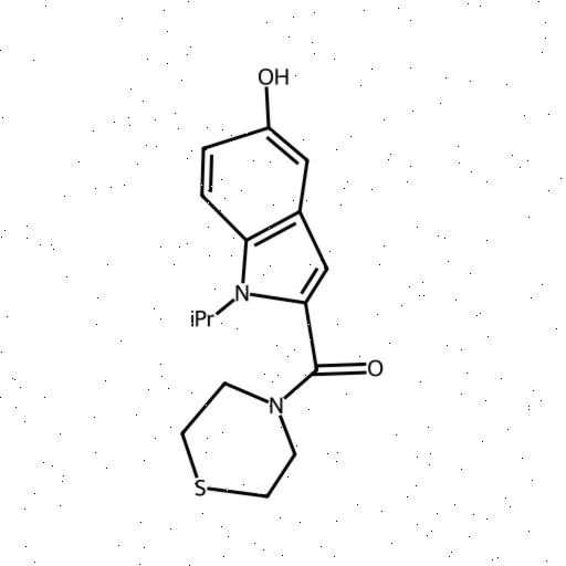 CC(C)n1c(C(=O)N2CCSCC2)cc2cc(O)ccc21